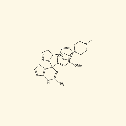 COc1cc(C2(N3N=CCC3c3ccccc3)N=C(N)Nc3ccsc32)ccc1N1CCN(C)CC1